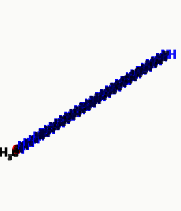 CON=NN=NN=NN=NN=NN=NN=NN=NN=NN=NN=NN=NN=NN=NN=NN=NN=NN=NN=NN=NN=NN=NN=NN=NN=NN=NN=NN=NN=N